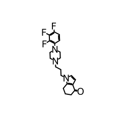 O=C1CCCc2c1ccn2CCCN1CCN(c2ccc(F)c(F)c2F)CC1